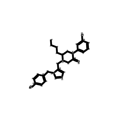 CCCCC1CN(c2cccc(Cl)c2)C(=O)CN1Cc1cncn1Cc1ccc(Br)cc1